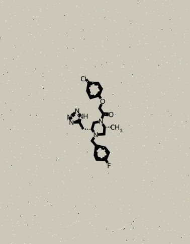 C[C@@H]1CN(Cc2ccc(F)cc2)[C@H](Cc2nnn[nH]2)CN1C(=O)COc1ccc(Cl)cc1